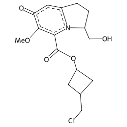 COc1c(C(=O)OC2CC(CCl)C2)n2c(cc1=O)CCC2CO